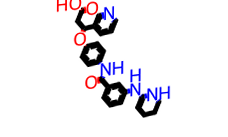 O=C(O)CC(Oc1ccc(NC(=O)c2cccc(NC3=CCCCN3)c2)cc1)c1cccnc1